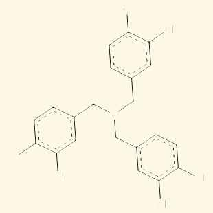 Clc1ccc(CP(Cc2ccc(Cl)c(Cl)c2)Cc2ccc(Cl)c(Cl)c2)cc1Cl